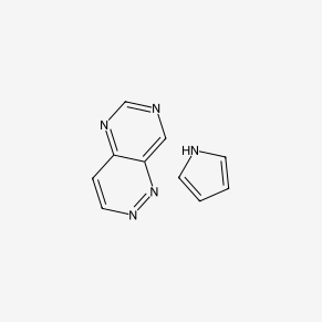 c1cc2ncncc2nn1.c1cc[nH]c1